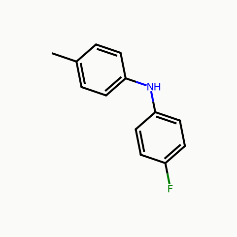 Cc1ccc(Nc2ccc(F)cc2)cc1